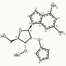 CCCCO[C@H]1[C@@H](On2ccnc2)[C@H](n2cnc3c(N)nc(N)nc32)O[C@@H]1CO